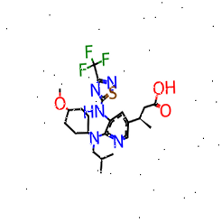 CO[C@H]1CC[C@@H](N(CC(C)C)c2ncc([C@H](C)CC(=O)O)cc2Nc2nc(C(F)(F)F)ns2)CC1